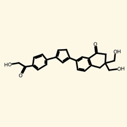 O=C(CO)c1ccc(C2=CCC(c3ccc4c(c3)C(=O)CC(CO)(CO)C4)=C2)cc1